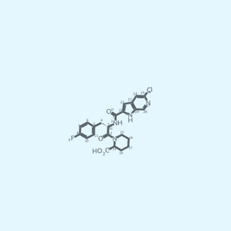 O=C(N[C@@H](Cc1ccc(F)cc1)C(=O)N1CCCCC1C(=O)O)c1cc2cc(Cl)ncc2[nH]1